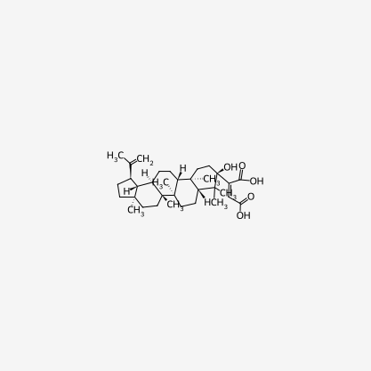 C=C(C)[C@@H]1CC[C@]2(C)CC[C@]3(C)[C@H](CC[C@@H]4[C@@]5(C)CC[C@](O)(/C(=C/C(=O)O)C(=O)O)C(C)(C)[C@@H]5CC[C@]43C)[C@@H]12